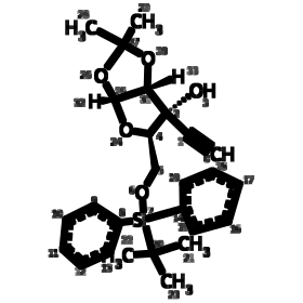 C#C[C@@]1(O)[C@@H](CO[Si](c2ccccc2)(c2ccccc2)C(C)(C)C)O[C@@H]2OC(C)(C)O[C@@H]21